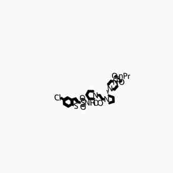 CCCS(=O)(=O)N1CCN(C[C@@H]2CCCN2C(=O)CN2CCC[C@H](NS(=O)(=O)c3cc4cc(Cl)ccc4s3)C2=O)CC1